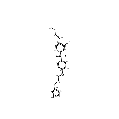 Cc1cc(C(C)(C)c2ccc(OCCCn3ccnc3)cc2)ccc1OCCCCl